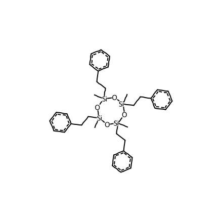 C[Si]1(CCc2ccccc2)O[Si](C)(CCc2ccccc2)O[Si](C)(CCc2ccccc2)O[Si](C)(CCc2ccccc2)O1